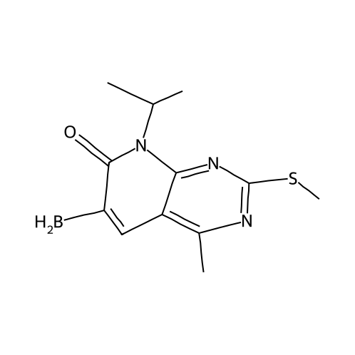 Bc1cc2c(C)nc(SC)nc2n(C(C)C)c1=O